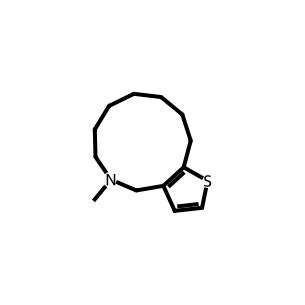 CN1CCCCCCCc2sccc2C1